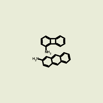 Nc1ccc2cc3ccccc3cc2c1.Nc1cccc2c1-c1ccccc1-2